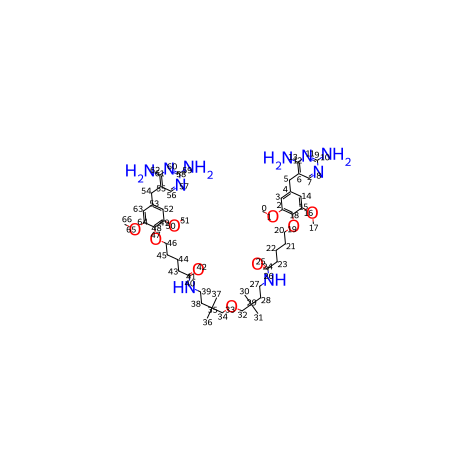 COc1cc(Cc2cnc(N)nc2N)cc(OC)c1OCCCCC(=O)NCCC(C)(C)COCC(C)(C)CCNC(=O)CCCCOc1c(OC)cc(Cc2cnc(N)nc2N)cc1OC